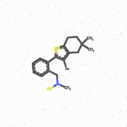 CC(=O)c1c(-c2ccccc2CN(C)S)sc2c1CC(C)(C)CC2